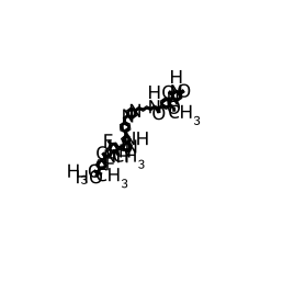 COc1cc(C(=O)NCCCCN2CCN(Cc3ccc(-c4cc5c(-c6cc(F)cc(NC(=O)c7ccc(C(C)(C)O)cc7F)c6C)ncnc5[nH]4)cc3)CC2)ccc1N1CCC(=O)NC1=O